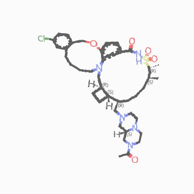 CC(=O)N1CCN2CCN(C[C@@H]3CCC[C@H](C)[C@@H](C)S(=O)(=O)NC(=O)c4ccc5c(c4)N(CCCCc4cc(Cl)ccc4CO5)C[C@@H]4CC[C@@H]34)C[C@H]2C1